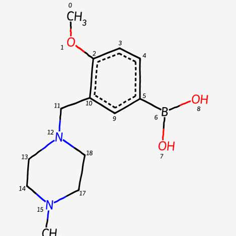 COc1ccc(B(O)O)cc1CN1CCN(C)CC1